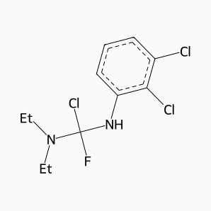 CCN(CC)C(F)(Cl)Nc1cccc(Cl)c1Cl